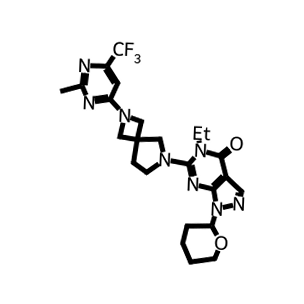 CCn1c(N2CCC3(CN(c4cc(C(F)(F)F)nc(C)n4)C3)C2)nc2c(cnn2C2CCCCO2)c1=O